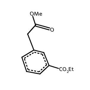 CCOC(=O)c1cccc(CC(=O)OC)c1